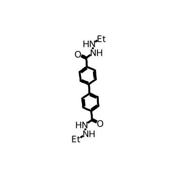 CCNNC(=O)c1ccc(-c2ccc(C(=O)NNCC)cc2)cc1